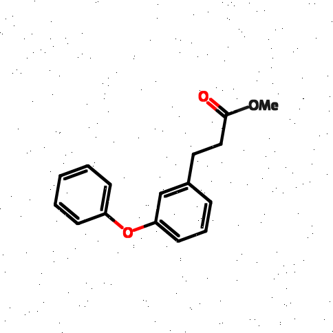 COC(=O)CCc1cccc(Oc2ccccc2)c1